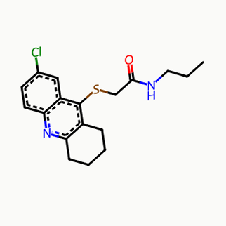 CCCNC(=O)CSc1c2c(nc3ccc(Cl)cc13)CCCC2